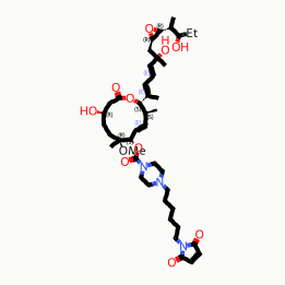 CCC(O)C(C)[C@H]1O[C@@H]1CC(C)(O)/C=C/C=C(\C)[C@H]1OC(=O)C[C@H](O)CC[C@@](C)(OC)[C@@H](OC(=O)N2CCN(CCCCCCN3C(=O)C=CC3=O)CC2)/C=C/[C@@H]1C